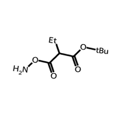 CCC(C(=O)ON)C(=O)OC(C)(C)C